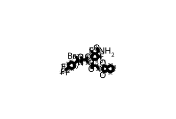 NC(=O)c1c(F)ccc(OC(COC(=O)CCN2C(=O)c3ccccc3C2=O)c2nc(-c3ccc(C(F)(F)F)cc3)c(Br)o2)c1F